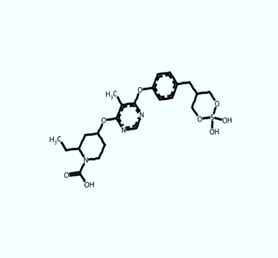 CCC1CC(Oc2ncnc(Oc3ccc(CC4COS(O)(O)OC4)cc3)c2C)CCN1C(=O)O